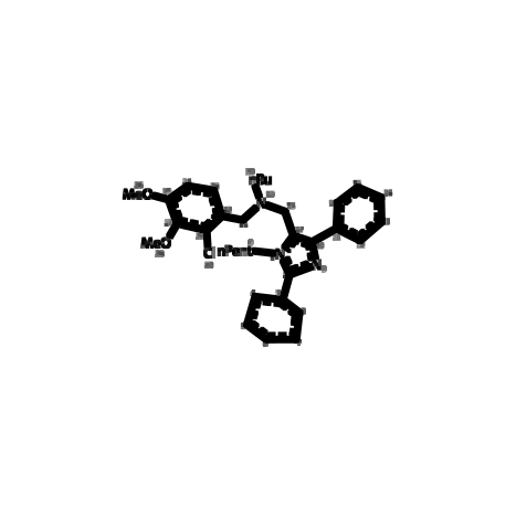 CCCCCn1c(-c2ccccc2)nc(-c2ccccc2)c1CN(CCCC)Cc1ccc(OC)c(OC)c1Cl